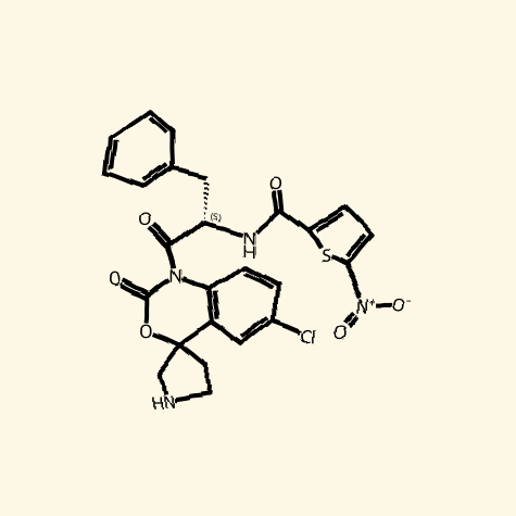 O=C(N[C@@H](Cc1ccccc1)C(=O)N1C(=O)OC2(CCNC2)c2cc(Cl)ccc21)c1ccc([N+](=O)[O-])s1